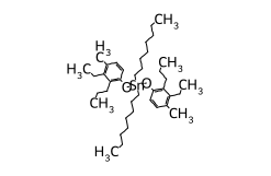 CCCCCCC[CH2][Sn]([CH2]CCCCCCC)([O]c1ccc(C)c(CC)c1CCC)[O]c1ccc(C)c(CC)c1CCC